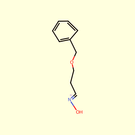 O/N=C/CCOCc1ccccc1